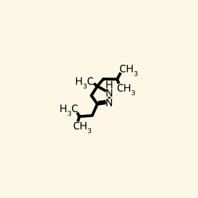 CC(C)CC1=NNC(C)(CC(C)C)C1